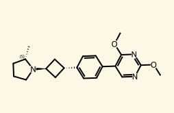 COc1ncc(-c2ccc([C@H]3C[C@H](N4CCC[C@@H]4C)C3)cc2)c(OC)n1